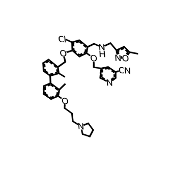 Cc1cc(CNCc2cc(Cl)c(OCc3cccc(-c4cccc(OCCCN5CCCC5)c4C)c3C)cc2OCc2cncc(C#N)c2)no1